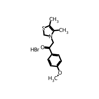 Br.COc1ccc(C(=O)CN2CSC(C)=C2C)cc1